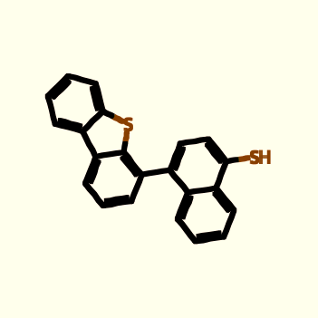 Sc1ccc(-c2cccc3c2sc2ccccc23)c2ccccc12